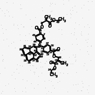 C=C(COC(=O)c1ccc(N(c2ccc(C(=O)OCC(=C)C(=O)OCC)cc2)c2cc3cccc4ccc5cccc2c5c43)cc1)C(=O)OCC